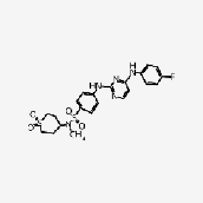 CN(C1CCS(=O)(=O)CC1)S(=O)(=O)c1ccc(Nc2nccc(Nc3ccc(F)cc3)n2)cc1